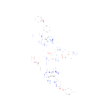 CC(=O)O.Nc1ncnc2c1c(-c1ccc(Oc3ccccc3)cc1)nn2C1CCN(C(CC2CNCCO2)C(=O)C(CC2CNCCO2)N2CCC(n3nc(-c4ccc(Oc5ccccc5)cc4)c4c(N)ncnc43)CC2)CC1